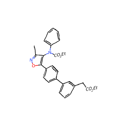 CCOC(=O)Cc1cccc(-c2ccc(-c3onc(C)c3N(C(=O)OCC)c3ccccc3)cc2)c1